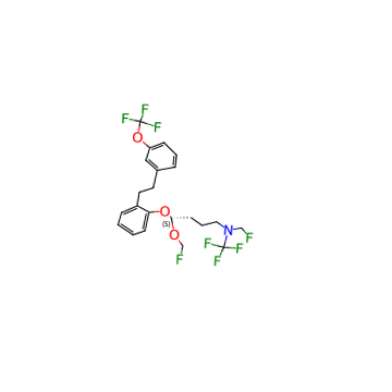 FCO[C@@H](CCCN(CF)C(F)(F)F)Oc1ccccc1CCc1cccc(OC(F)(F)F)c1